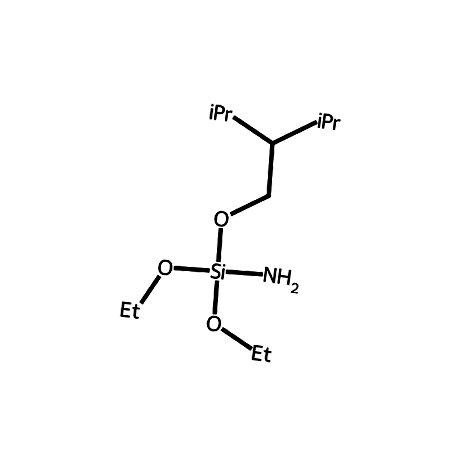 CCO[Si](N)(OCC)OCC(C(C)C)C(C)C